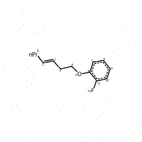 CCCC=CCCOc1ccc[c]c1F